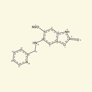 COc1cc2[nH]c(=O)oc2cc1NCc1ccccn1